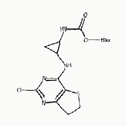 CC(C)(C)OC(=O)NC1CC1Nc1nc(Cl)nc2c1SCC2